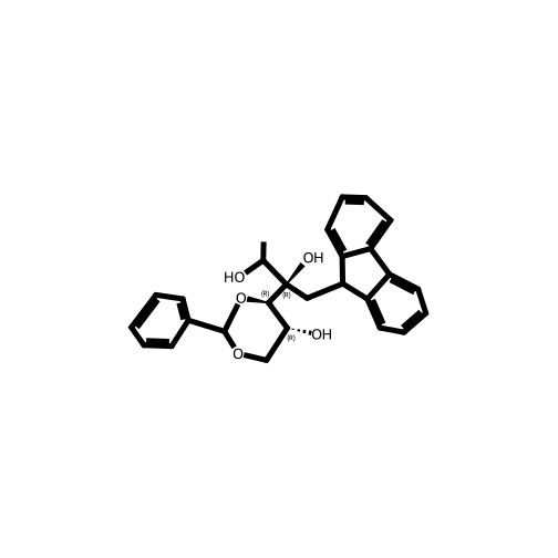 C[C](O)[C@](O)(CC1c2ccccc2-c2ccccc21)[C@@H]1OC(c2ccccc2)OC[C@H]1O